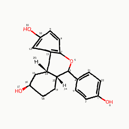 Oc1ccc(C2Oc3ccc(O)cc3[C@H]3C[C@H](O)CC[C@@H]23)cc1